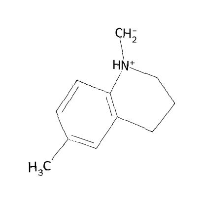 [CH2-][NH+]1CCCc2cc(C)ccc21